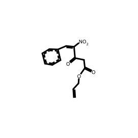 C=CCOC(=O)CC(=O)C(=Cc1ccccc1)[N+](=O)[O-]